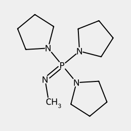 CN=P(N1CCCC1)(N1CCCC1)N1CCCC1